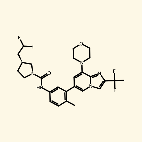 Cc1ccc(NC(=O)N2CC[C@@H](CC(F)I)C2)cc1-c1cc(N2CCOCC2)c2nc(C(C)(F)F)cn2c1